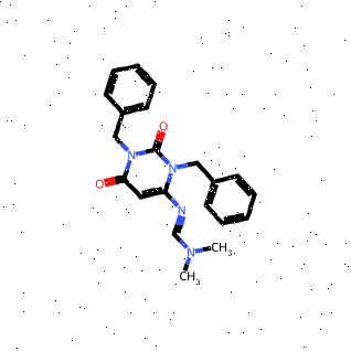 CN(C)C=Nc1cc(=O)n(Cc2ccccc2)c(=O)n1Cc1ccccc1